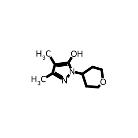 Cc1nn(C2CCOCC2)c(O)c1C